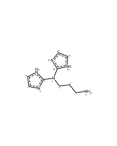 NCCCN(c1ncc[nH]1)c1ncc[nH]1